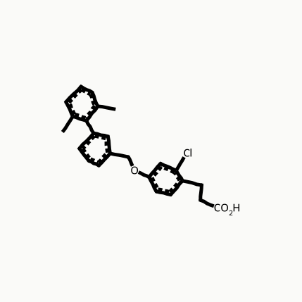 Cc1cccc(C)c1-c1cccc(COc2ccc(CCC(=O)O)c(Cl)c2)c1